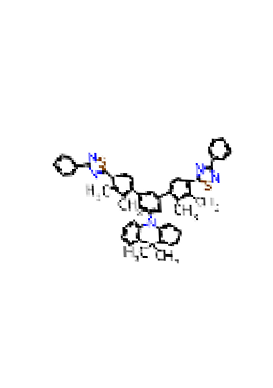 Cc1c(-c2cc(-c3ccc(-c4nc(-c5ccccc5)ns4)c(C)c3C)cc(N3c4ccccc4C(C)(C)c4ccccc43)c2)ccc(-c2nc(-c3ccccc3)ns2)c1C